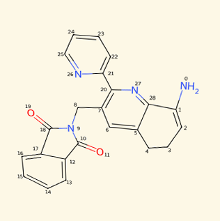 NC1=CCCc2cc(CN3C(=O)c4ccccc4C3=O)c(-c3ccccn3)nc21